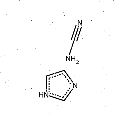 N#CN.c1c[nH]cn1